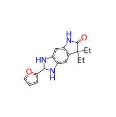 CCC1(CC)C(=O)Nc2cc3c(cc21)NC(c1ccco1)N3